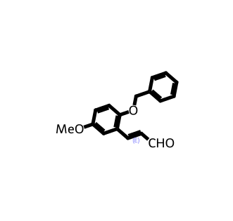 COc1ccc(OCc2ccccc2)c(/C=C/C=O)c1